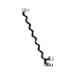 CCCCC(CC)CCCCCCCCCCCC[CH]O